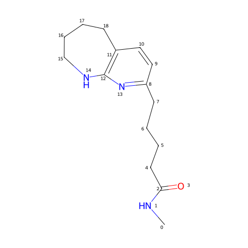 CNC(=O)CCCCc1ccc2c(n1)NCCCC2